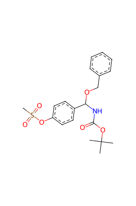 CC(C)(C)OC(=O)NC(OCc1ccccc1)c1ccc(OS(C)(=O)=O)cc1